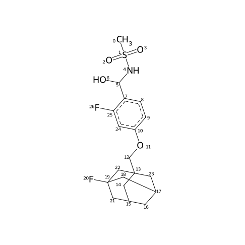 CS(=O)(=O)NC(O)c1ccc(OCC23CC4CC(CC(F)(C4)C2)C3)cc1F